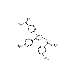 CCN(C)c1ccc(-c2cc(CC(C(=O)O)c3cccc(C)c3)nn2-c2ccc(C)cc2)cc1